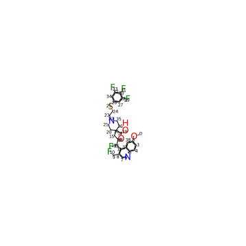 COc1ccc2ncc(CF)c(C(F)CCC3(C(=O)O)CCN(CCSc4cc(F)c(F)c(F)c4)CC3)c2c1